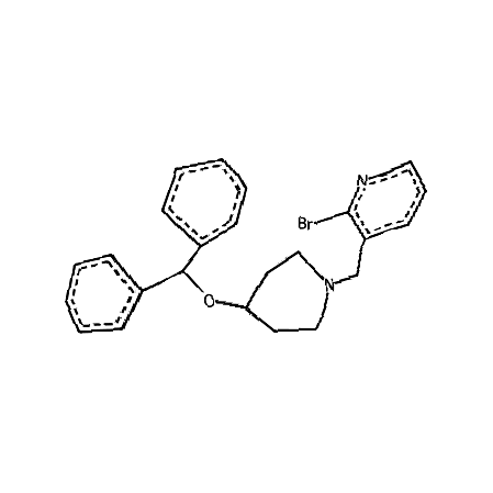 Brc1ncccc1CN1CCC(OC(c2ccccc2)c2ccccc2)CC1